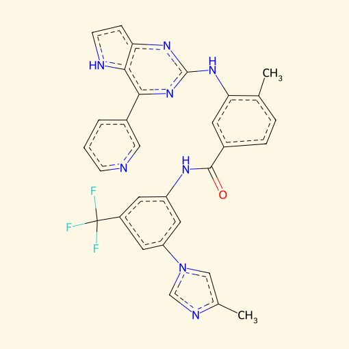 Cc1cn(-c2cc(NC(=O)c3ccc(C)c(Nc4nc(-c5cccnc5)c5[nH]ccc5n4)c3)cc(C(F)(F)F)c2)cn1